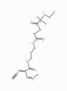 C#C/C=C(\C=N/C)C(=O)OCCCOC(=O)CCC(=O)C(C)(C)OCC